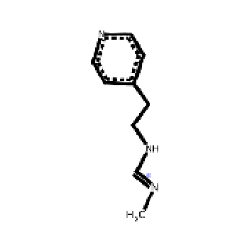 C/N=C/NCCc1ccncc1